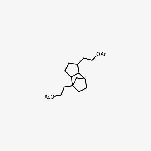 CC(=O)OCCC1CCC2C1C1CCC2(CCOC(C)=O)C1